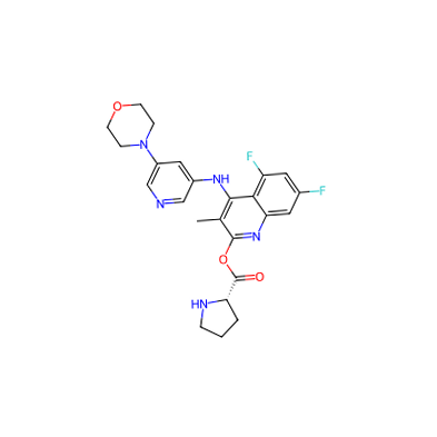 Cc1c(OC(=O)[C@@H]2CCCN2)nc2cc(F)cc(F)c2c1Nc1cncc(N2CCOCC2)c1